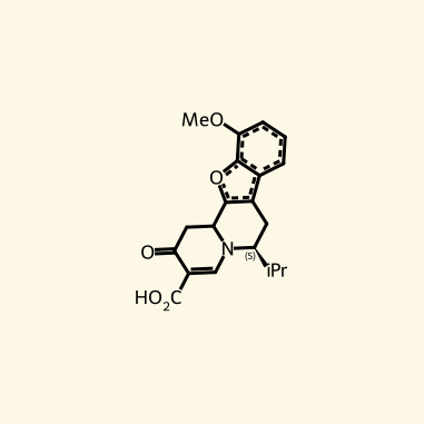 COc1cccc2c3c(oc12)C1CC(=O)C(C(=O)O)=CN1[C@H](C(C)C)C3